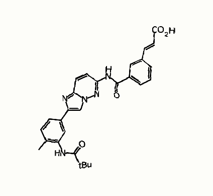 Cc1ccc(-c2cn3nc(NC(=O)c4cccc(/C=C/C(=O)O)c4)ccc3n2)cc1NC(=O)C(C)(C)C